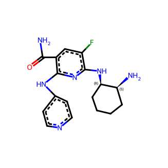 NC(=O)c1cc(F)c(N[C@@H]2CCCC[C@@H]2N)nc1Nc1ccncc1